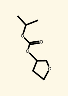 CC(C)OC(=O)OC1CCOC1